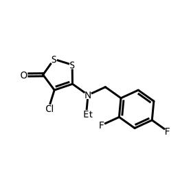 CCN(Cc1ccc(F)cc1F)c1ssc(=O)c1Cl